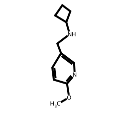 COc1ccc(CNC2CCC2)cn1